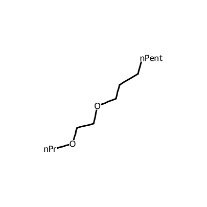 CCCCCCCCOCCOCCC